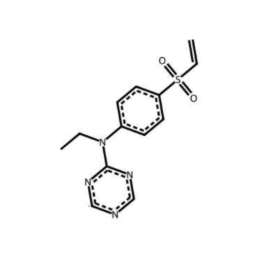 C=CS(=O)(=O)c1ccc(N(CC)c2n[c]ncn2)cc1